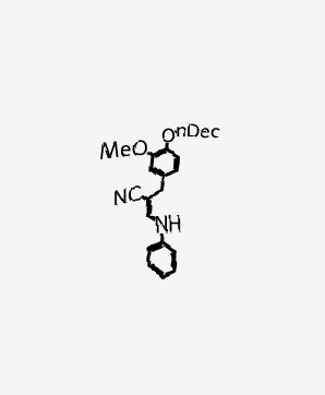 CCCCCCCCCCOc1ccc(C/C(C#N)=C\Nc2ccccc2)cc1OC